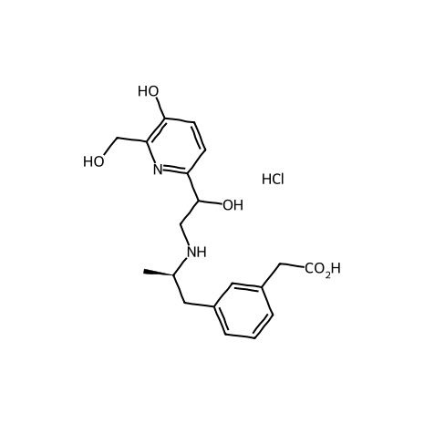 C[C@H](Cc1cccc(CC(=O)O)c1)NCC(O)c1ccc(O)c(CO)n1.Cl